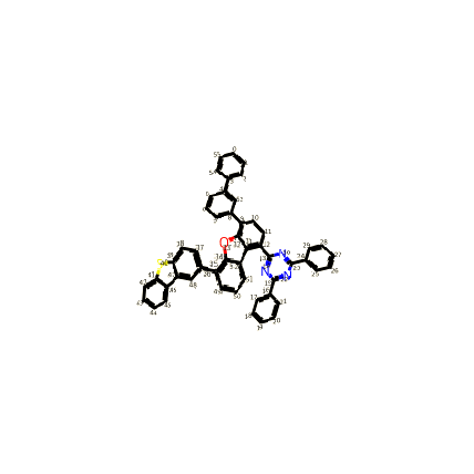 c1ccc(-c2cccc(-c3ccc(-c4nc(-c5ccccc5)nc(-c5ccccc5)n4)c4c3oc3c(-c5ccc6sc7ccccc7c6c5)cccc34)c2)cc1